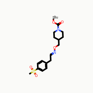 CC(C)(C)OC(=O)N1CCC(CON=CCc2ccc(S(C)(=O)=O)cc2)CC1